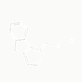 O=COCc1cccc2c1-c1ccccc1C2